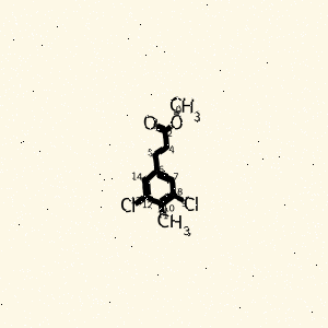 COC(=O)CCc1cc(Cl)c(C)c(Cl)c1